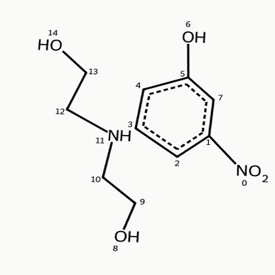 O=[N+]([O-])c1cccc(O)c1.OCCNCCO